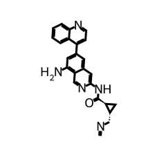 C=NC[C@H]1C[C@@H]1C(=O)Nc1cc2cc(-c3ccnc4ccccc34)cc(N)c2cn1